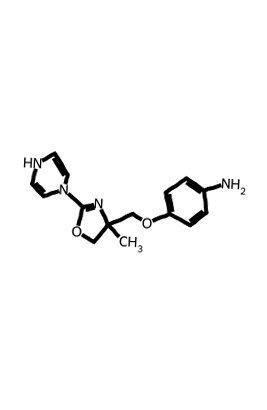 CC1(COc2ccc(N)cc2)COC(N2C=CNC=C2)=N1